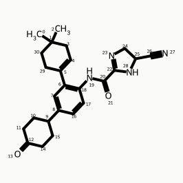 CC1(C)CC=C(c2cc(C3CCC(=O)CC3)ccc2NC(=O)C2=NCC(C#N)N2)CC1